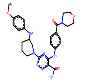 CCCOc1ccc(N[C@@H]2CCCN(c3nnc(C(N)=O)c(Nc4ccc(C(=O)N5CCOCC5)cc4)n3)C2)cc1